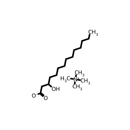 CCCCCCCCCCCC(O)CC(=O)[O-].C[N+](C)(C)C